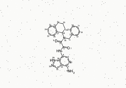 Nc1ncc(NC(=O)C(=O)N(Cc2ccccc2)C2CCCc3ccccc32)c2[nH]ncc12